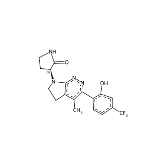 Cc1c(-c2ccc(C(F)(F)F)cc2O)nnc2c1CCN2[C@H]1CCNC1=O